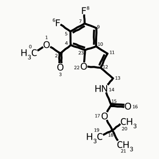 COC(=O)c1c(F)c(F)cc2cc(CNC(=O)OC(C)(C)C)oc12